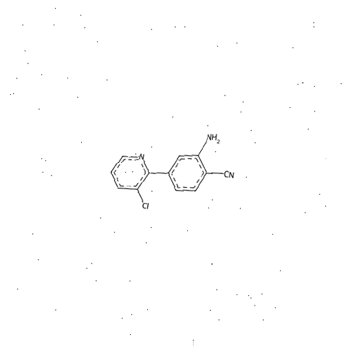 N#Cc1ccc(-c2ncccc2Cl)cc1N